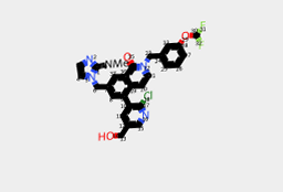 CNc1nccn1Cc1cc(-c2cc(CO)cnc2Cl)c2ccn(Cc3cccc(OC(F)F)c3)c(=O)c2c1